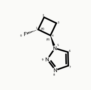 F[C@@H]1CC[C@H]1n1ccnn1